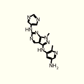 Cc1ncc(N)cc1Nc1nn(C)c2nc(Nc3cncnc3)ncc12